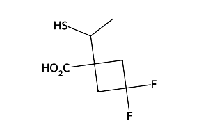 CC(S)C1(C(=O)O)CC(F)(F)C1